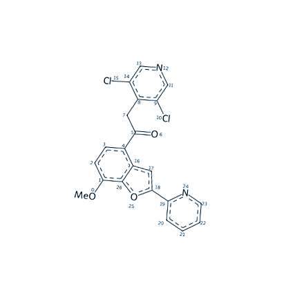 COc1ccc(C(=O)Cc2c(Cl)cncc2Cl)c2cc(-c3ccccn3)oc12